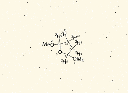 [2H]C1(OC)OC([2H])(OC)C([2H])([2H])C1([2H])[2H]